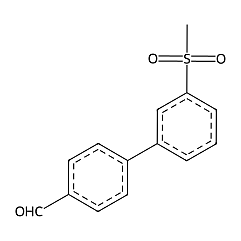 CS(=O)(=O)c1cccc(-c2ccc(C=O)cc2)c1